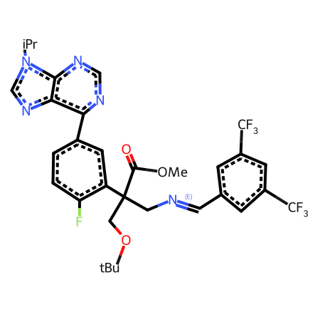 COC(=O)C(C/N=C/c1cc(C(F)(F)F)cc(C(F)(F)F)c1)(COC(C)(C)C)c1cc(-c2ncnc3c2ncn3C(C)C)ccc1F